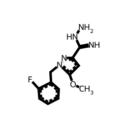 COc1cc(C(=N)NN)nn1Cc1ccccc1F